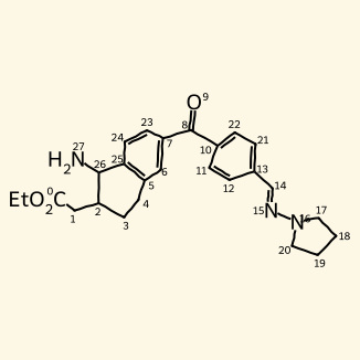 CCOC(=O)CC1CCc2cc(C(=O)c3ccc(C=NN4CCCC4)cc3)ccc2C1N